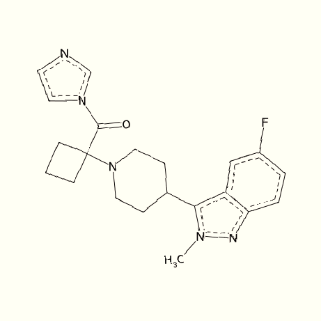 Cn1nc2ccc(F)cc2c1C1CCN(C2(C(=O)n3ccnc3)CCC2)CC1